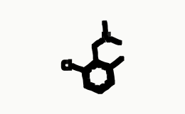 Cc1cccc(Cl)c1CN(C)C